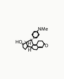 CNc1ccc([C@H]2C[C@]3(C)[C@@H](O)CC[C@H]3[C@@H]3CCC4=CC(=O)CCC4=C32)cc1